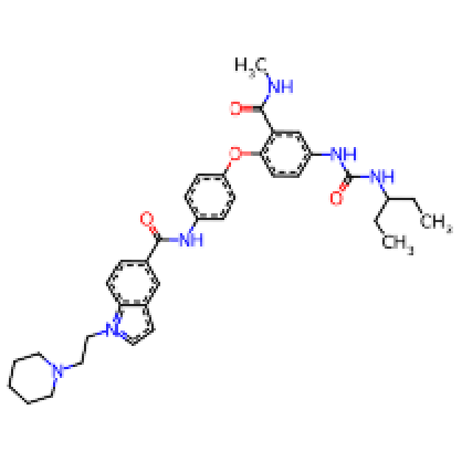 CCC(CC)NC(=O)Nc1ccc(Oc2ccc(NC(=O)c3ccc4c(ccn4CCN4CCCCC4)c3)cc2)c(C(=O)NC)c1